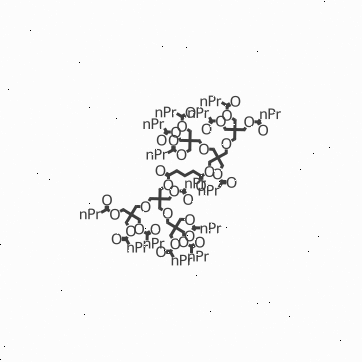 CCCC(=O)OCC(COCC(COC(=O)CCC)(COC(=O)CCC)COC(=O)CCC)(COCC(COC(=O)CCC)(COC(=O)CCC)COC(=O)CCC)COC(=O)CCCC(=O)OCC(COCC(COC(=O)CCC)(COC(=O)CCC)COC(=O)CCC)(COCC(COC(=O)CCC)(COC(=O)CCC)COC(=O)CCC)COC(=O)CCC